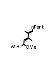 CCCCC/C=C(C)/C(C)=C/C(OC)OC